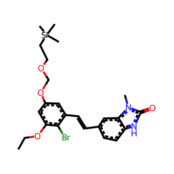 CCOc1cc(OCOCC[Si](C)(C)C)cc(C=Cc2ccc3[nH]c(=O)n(C)c3c2)c1Br